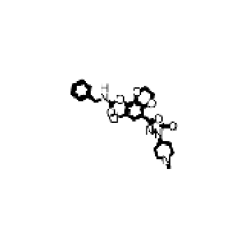 CN1CCC(n2nc(-c3cc(Cl)c(OC(=O)NCc4ccccc4)c4c3OCCO4)oc2=O)CC1